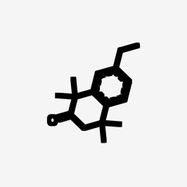 CCc1ccc2c(c1)C(C)(C)C(=O)CC2(C)C